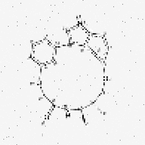 C[C@H]1COc2ccc3[nH]nc(c3c2)-c2cccc(c2)OCC(=O)N[C@@H]1C